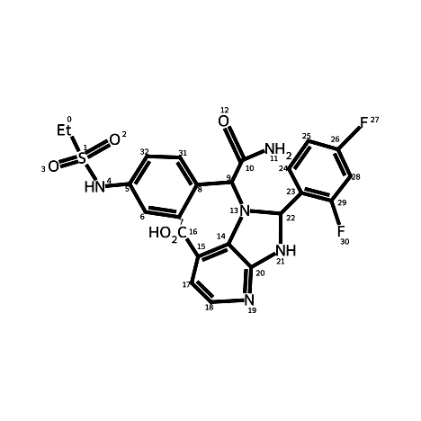 CCS(=O)(=O)Nc1ccc(C(C(N)=O)N2c3c(C(=O)O)ccnc3NC2c2ccc(F)cc2F)cc1